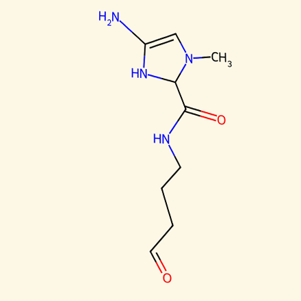 CN1C=C(N)NC1C(=O)NCCCC=O